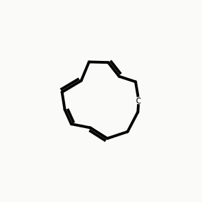 C1=C\C=C\CCCC/C=C/C/C=C/1